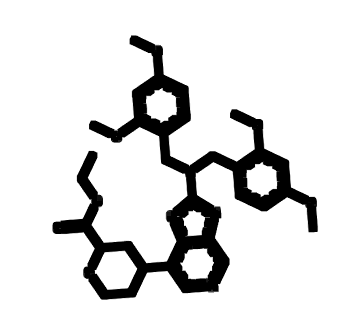 CCOC(=O)C1CC(c2cncc3nc(N(Cc4ccc(OC)cc4OC)Cc4ccc(OC)cc4OC)oc23)CCO1